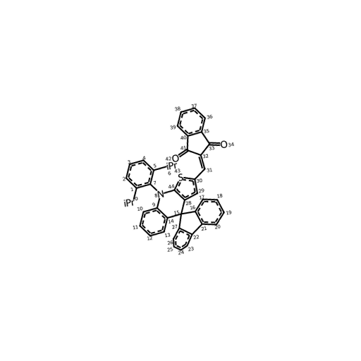 CC(C)c1cccc(C(C)C)c1N1c2ccccc2C2(c3ccccc3-c3ccccc32)c2cc(C=C3C(=O)c4ccccc4C3=O)sc21